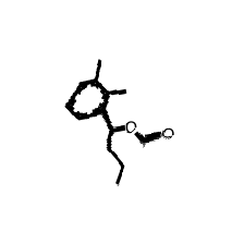 CCCC(O[C]=O)c1cccc(C)c1C